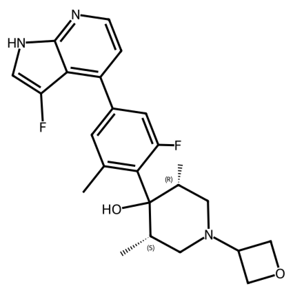 Cc1cc(-c2ccnc3[nH]cc(F)c23)cc(F)c1C1(O)[C@H](C)CN(C2COC2)C[C@@H]1C